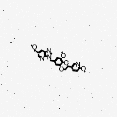 COCc1cnc2c(c1)ncn2Cc1cc(OC)c2c(c1)OCC(c1ccc(OC)nc1)O2